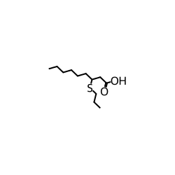 CCCCCCC(CC(=O)O)SCCC